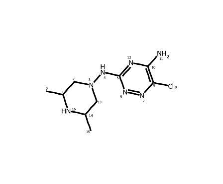 CC1CN(Nc2nnc(Cl)c(N)n2)CC(C)N1